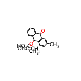 CC(=O)O.CC=O.Cc1ccc2c(c1)C(=O)c1ccccc1C2=O